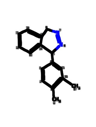 Cc1ccc(C2N=NCc3ccccc32)cc1C